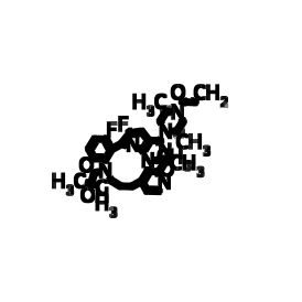 C=CC(=O)N1C[C@H](C)N(c2nc(=O)n3c4nc(c(F)cc24)-c2c(F)cccc2N(C(=O)C(C)(C)O)CCCc2ccnc(C(C)C)c2-3)C[C@H]1C